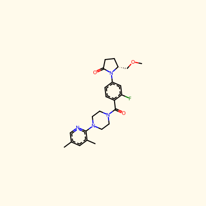 COC[C@H]1CCC(=O)N1c1ccc(C(=O)N2CCN(c3ncc(C)cc3C)CC2)c(F)c1